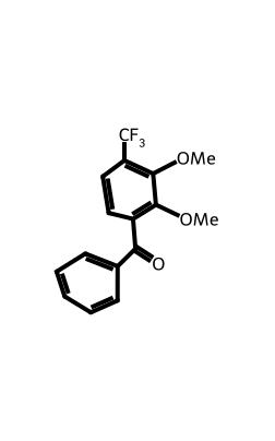 COc1c(C(=O)c2ccccc2)ccc(C(F)(F)F)c1OC